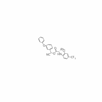 CC(C)[C@H](Nc1ccc(C(F)(F)F)cc1Cl)C(=O)OC(C#N)c1cccc(Oc2ccccc2)c1